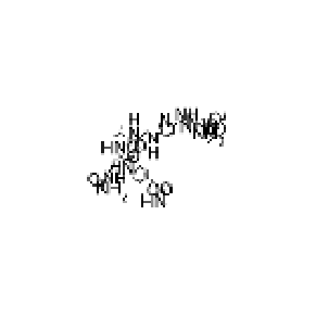 CCOP(=O)(C/C(N)=N/N=C(\N)c1ccc(NCC(=O)NC(C(=O)N[C@@H](CCCNC(N)=O)C(=O)Nc2ccc(COC(=O)NC)cc2)C(C)C)cn1)OCC